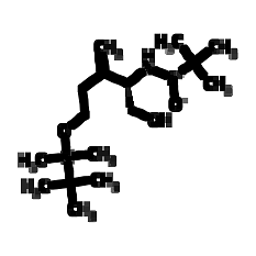 C=C(CCO[Si](C)(C)C(C)(C)C)[C@@H](CO)N[S+]([O-])C(C)(C)C